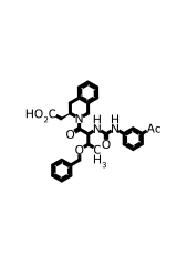 CC(=O)c1cccc(NC(=O)NC(C(=O)N2Cc3ccccc3C[C@@H]2CC(=O)O)C(C)OCc2ccccc2)c1